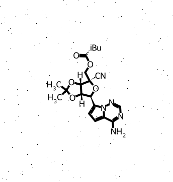 CC[C@@H](C)C(=O)OC[C@@]1(C#N)O[C@@H](c2ccc3c(N)ncnn23)[C@@H]2OC(C)(C)O[C@@H]21